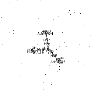 CC(=O)N[C@H]1[C@H](OCCCCC(=O)NCCCNC(=O)CCOCC(N)(COCCC(=O)NCCCNC(=O)CCCCO[C@@H]2O[C@H](CO)[C@H](O)[C@H](O)[C@H]2NC(C)=O)COCCC(=O)NCCCNC(=O)CCCCO[C@@H]2O[C@H](CO)[C@H](O)[C@H](O)[C@H]2NC(C)=O)O[C@H](CO)[C@H](O)[C@@H]1O